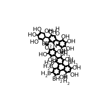 BC1=C(O)C(O)=C(O)C(O)C1c1c(O)c(O)c2c3c(O)c(O)c(O)c(O)c3n3c4c(O)c(-c5c(B)c(O)c6c7c(B)c(O)c(O)c(B)c7c7c(O)c(B)c(B)c(B)c7c6c5B)c(O)c(O)c4ooc1c23